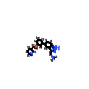 CN(C)Cc1n[nH]c2ccc(-c3cccc(OCc4cccnc4)c3)cc12